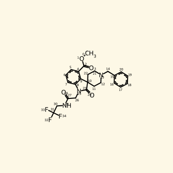 COC(=O)c1cccc2c1C1(CCN(Cc3ccccc3)CC1)C(=O)N2CC(=O)NCC(F)(F)F